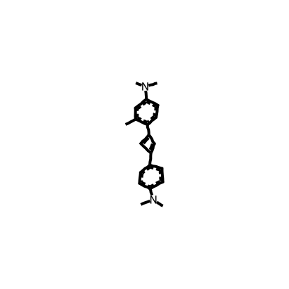 Cc1cc(N(C)C)ccc1C1=CC(c2ccc(N(C)C)cc2)=C1